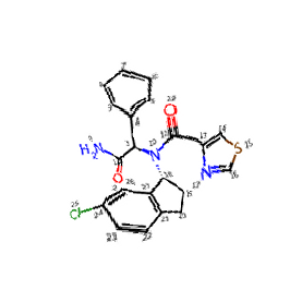 NC(=O)[C@@H](c1ccccc1)N(C(=O)c1cscn1)[C@@H]1CCc2ccc(Cl)cc21